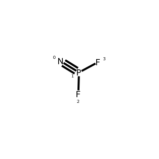 N#P(F)F